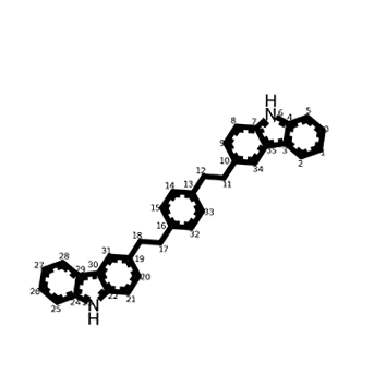 c1ccc2c(c1)[nH]c1ccc(CCc3ccc(CCc4ccc5[nH]c6ccccc6c5c4)cc3)cc12